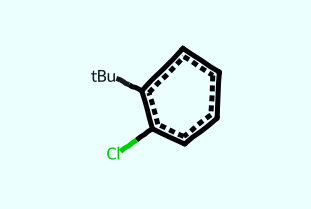 [CH2]C(C)(C)c1ccccc1Cl